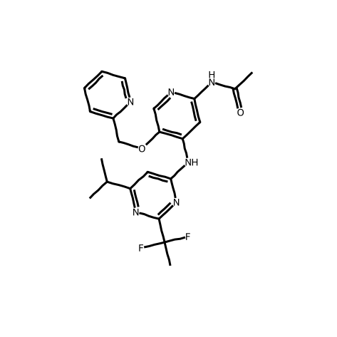 CC(=O)Nc1cc(Nc2cc(C(C)C)nc(C(C)(F)F)n2)c(OCc2ccccn2)cn1